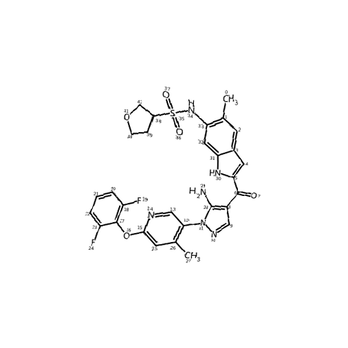 Cc1cc2cc(C(=O)c3cnn(-c4cnc(Oc5c(F)cccc5F)cc4C)c3N)[nH]c2cc1NS(=O)(=O)C1CCOC1